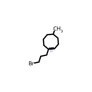 CC1CC/C=C(/CCCBr)CCC1